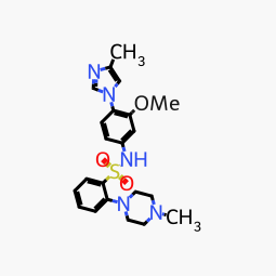 COc1cc(NS(=O)(=O)c2ccccc2N2CCN(C)CC2)ccc1-n1cnc(C)c1